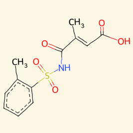 CC(=CC(=O)O)C(=O)NS(=O)(=O)c1ccccc1C